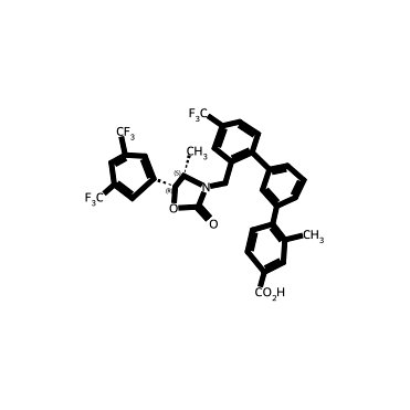 Cc1cc(C(=O)O)ccc1-c1cccc(-c2ccc(C(F)(F)F)cc2CN2C(=O)O[C@H](c3cc(C(F)(F)F)cc(C(F)(F)F)c3)[C@@H]2C)c1